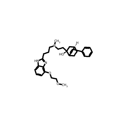 COCCOc1cccc2[nH]c(CCCN(C)CC[C@]3(O)C[C@H]4CCC3C=C4c3ccccc3)nc12